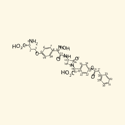 NC(CCOc1ccc(C(=NO)C(=O)NC2CN(C(C(=O)O)c3ccc(OC(=O)Cc4ccccc4)cc3)C2=O)cc1)C(=O)O